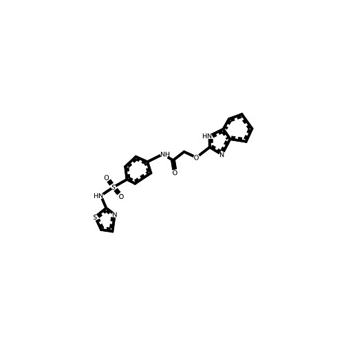 O=C(COc1nc2ccccc2[nH]1)Nc1ccc(S(=O)(=O)Nc2nccs2)cc1